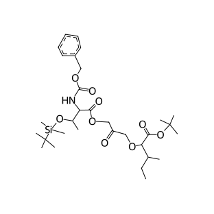 CCC(C)C(OCC(=O)COC(=O)C(NC(=O)OCc1ccccc1)C(C)O[Si](C)(C)C(C)(C)C)C(=O)OC(C)(C)C